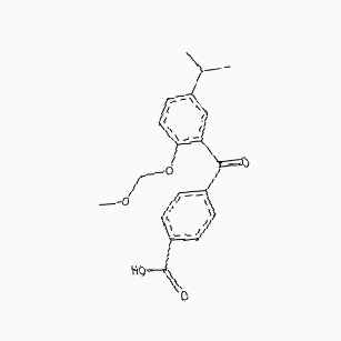 COCOc1ccc(C(C)C)cc1C(=O)c1ccc(C(=O)O)cc1